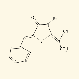 CCn1c(=O)c(=Cc2cccnc2)s/c1=C(/C#N)C(=O)O